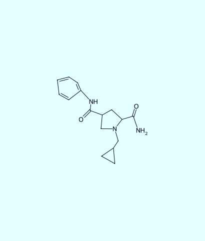 NC(=O)C1CC(C(=O)Nc2ccccc2)CN1CC1CC1